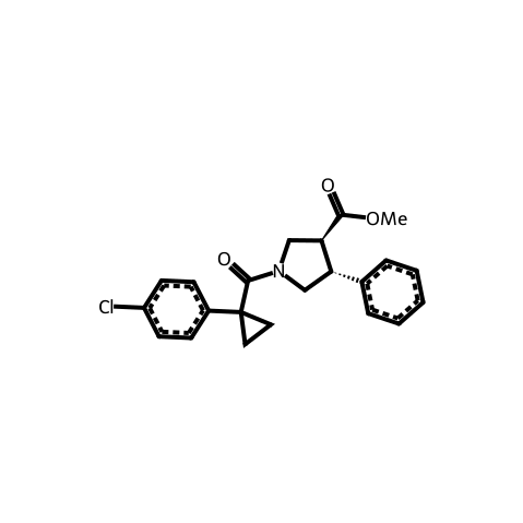 COC(=O)[C@@H]1CN(C(=O)C2(c3ccc(Cl)cc3)CC2)C[C@H]1c1ccccc1